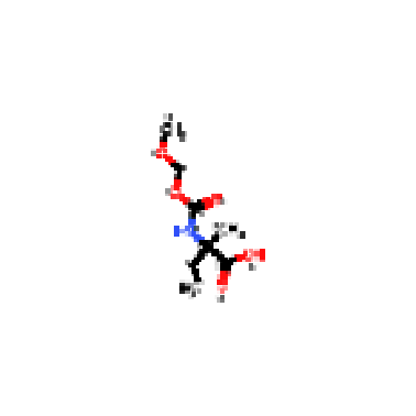 CC[C@](C)(NC(=O)OCOC)C(=O)O